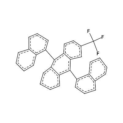 FC(F)(F)c1ccc2c(-c3cccc4ccccc34)c3ccccc3c(-c3cccc4ccccc34)c2c1